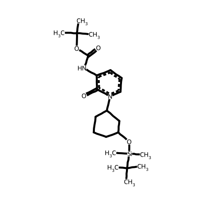 CC(C)(C)OC(=O)Nc1cccn(C2CCCC(O[Si](C)(C)C(C)(C)C)C2)c1=O